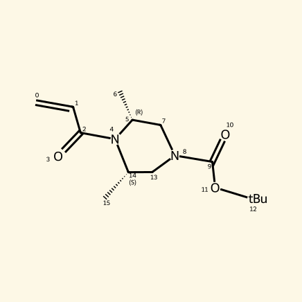 C=CC(=O)N1[C@H](C)CN(C(=O)OC(C)(C)C)C[C@@H]1C